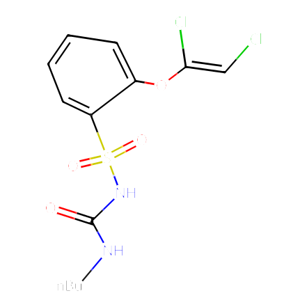 CCCCNC(=O)NS(=O)(=O)c1ccccc1O/C(Cl)=C/Cl